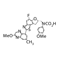 COc1ccc(N(C[C@@H]2Cc3c(c(F)cc4nc(-c5cc(C)cc6nc(OC)cnc56)sc34)O2)C(=O)O)cc1